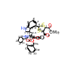 COC(=O)C1SC(c2cccc3[nH]cc(C[C@H](NC(=O)c4ccccc4)C(=O)OCc4ccccc4)c23)SC1C(=O)OC